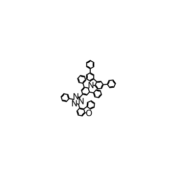 C1=C(c2nc(-c3ccccc3)nc(-c3cccc4oc5ccccc5c34)n2)C=C(c2ccccc2)C(n2c3ccc(-c4ccccc4)cc3c3cc(-c4ccccc4)ccc32)C1c1ccccc1